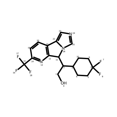 OCC(C1CCC(F)(F)CC1)C1c2nc(C(F)(F)F)ccc2-c2cncn21